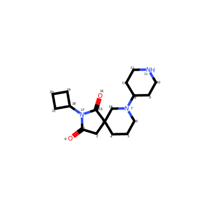 O=C1CC2(CCCN(C3CCNCC3)C2)C(=O)N1C1CCC1